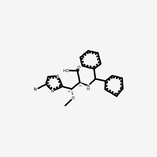 CO[C@H](c1nc(Br)cs1)[C@H](NC(c1ccccc1)c1ccccc1)C(=O)O